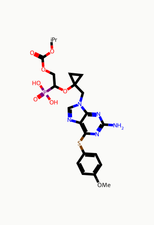 COc1ccc(Sc2nc(N)nc3c2ncn3CC2(OC(COC(=O)OC(C)C)P(=O)(O)O)CC2)cc1